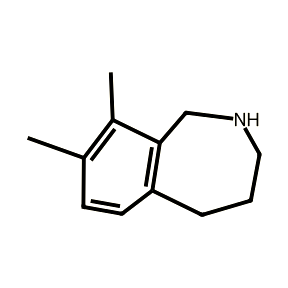 Cc1ccc2c(c1C)CNCCC2